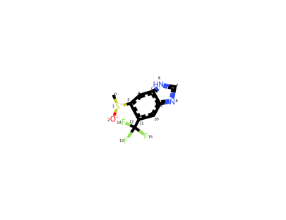 C[S+]([O-])c1cc2[nH]cnc2cc1C(F)(F)F